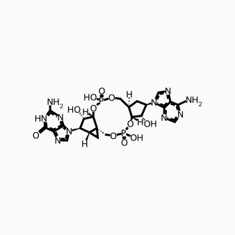 Nc1nc2c(ncn2[C@H]2[C@H](O)[C@@H]3OP(=O)(O)OC[C@H]4C[C@@H](n5cnc6c(N)ncnc65)[C@H](O)[C@@H]4OP(=O)(O)OC[C@@]34C[C@H]24)c(=O)[nH]1